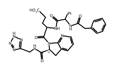 CC(C)C(NC(=O)Cc1ccccc1)C(=O)NC(CCC(=O)O)C(=O)N1c2ncccc2C[C@H]1C(=O)NCc1nn[nH]n1